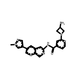 Cn1cc(-c2cnc3cnc(NC(=O)c4ccnc(N5CC(N)C5)c4)cc3c2)cn1